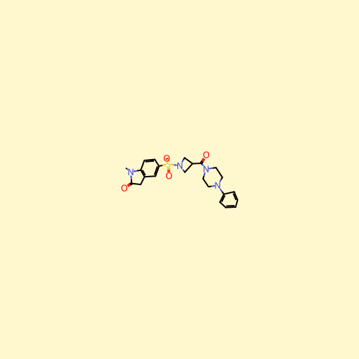 CN1C(=O)Cc2cc(S(=O)(=O)N3CC(C(=O)N4CCN(c5ccccc5)CC4)C3)ccc21